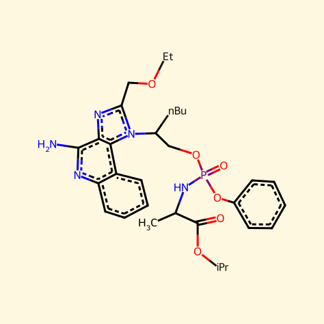 CCCCC(COP(=O)(NC(C)C(=O)OC(C)C)Oc1ccccc1)n1c(COCC)nc2c(N)nc3ccccc3c21